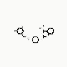 CN(C)c1nc(N[C@H]2CC[C@@H](CNCc3cc(F)cc(F)c3)CC2)nc2ccccc12